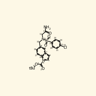 CC(C)(C)OC(=O)n1ccc2cc(CN(CC(N)=O)S(=O)(=O)c3ccc(Cl)cc3)ccc21